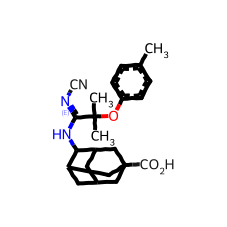 Cc1ccc(OC(C)(C)/C(=N\C#N)NC2C3CC4CC2CC(C(=O)O)(C4)C3)cc1